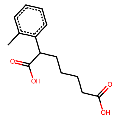 Cc1ccccc1C(CCCCC(=O)O)C(=O)O